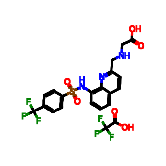 O=C(O)C(F)(F)F.O=C(O)CNCc1ccc2cccc(NS(=O)(=O)c3ccc(C(F)(F)F)cc3)c2n1